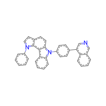 c1ccc(-n2ccc3ccc4c(c5ccccc5n4-c4ccc(-c5cncc6ccccc56)cc4)c32)cc1